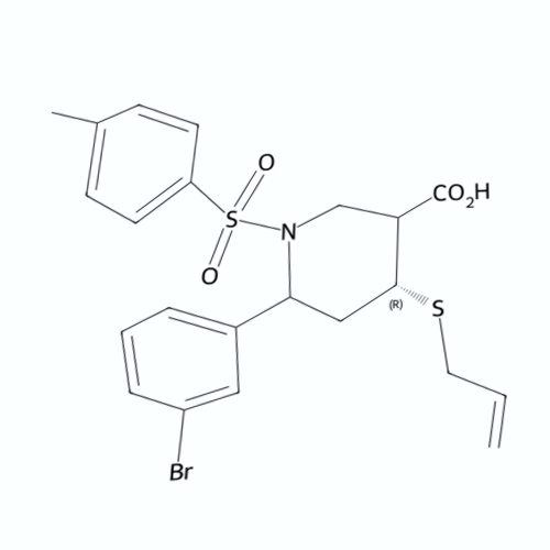 C=CCS[C@@H]1CC(c2cccc(Br)c2)N(S(=O)(=O)c2ccc(C)cc2)CC1C(=O)O